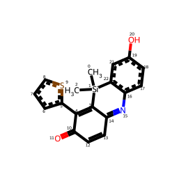 C[Si]1(C)C2=C(c3cccs3)C(=O)C=CC2=Nc2ccc(O)cc21